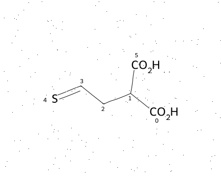 O=C(O)C(CC=S)C(=O)O